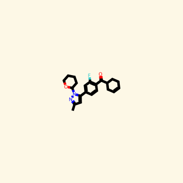 Cc1cc(-c2ccc(C(=O)C3CC=CCC3)c(F)c2)n(C2CCCCO2)n1